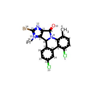 Cc1ccc(Cl)c2c1N1C(=O)c3nc(Br)n(C(C)C)c3C1c1ccc(Cl)cc1-2